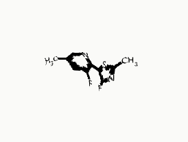 Cc1cnc(-c2sc(C)nc2F)c(F)c1